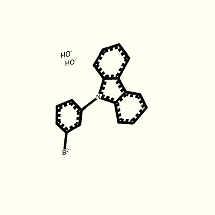 [B+2]c1cccc(-n2c3ccccc3c3ccccc32)c1.[OH-].[OH-]